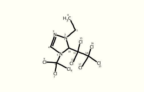 CCN1N=CN(C(Cl)(Cl)Cl)C1C(Cl)(Cl)C(Cl)(Cl)Cl